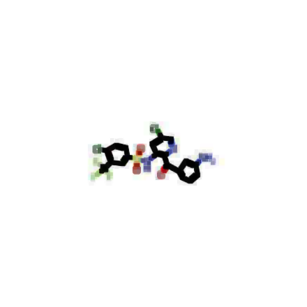 Nc1cccc(C(=O)c2ncc(Cl)cc2NS(=O)(=O)c2ccc(Cl)c(C(F)(F)F)c2)c1